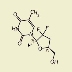 Cc1cn([C@]2(F)O[C@H](CO)CC2(F)F)c(=O)[nH]c1=O